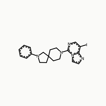 Ic1cnc(N2CCC3(CCN(c4ccccc4)C3)CC2)n2ccnc12